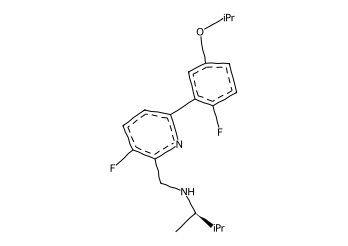 CC(C)Oc1ccc(F)c(-c2ccc(F)c(CN[C@H](C)C(C)C)n2)c1